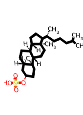 CC(C)CCC[C@@H](C)C1CC[C@H]2[C@@H]3CC[C@H]4C[C@@H](OS(=O)(=O)O)CC[C@]4(C)[C@H]3CC[C@]12C